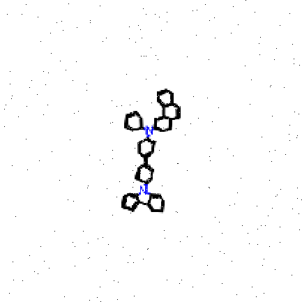 c1ccc(N(c2ccc(-c3ccc(-n4c5ccccc5c5ccccc54)cc3)cc2)c2ccc3ccc4ccccc4c3c2)cc1